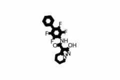 O=C(Nc1c(F)c(F)c(-c2ccccc2)c(F)c1F)c1c(O)nn2c1CCCC2